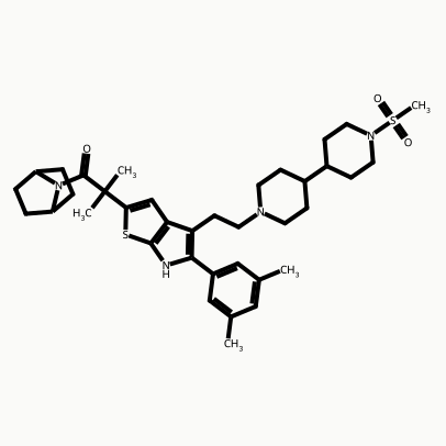 Cc1cc(C)cc(-c2[nH]c3sc(C(C)(C)C(=O)N4C5CCC4CC5)cc3c2CCN2CCC(C3CCN(S(C)(=O)=O)CC3)CC2)c1